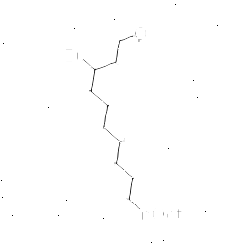 CCCCCCCCCCCCCCCC(CC)CC[O]